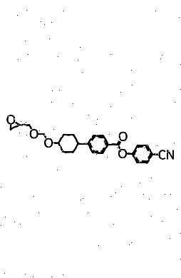 N#Cc1ccc(OC(=O)c2ccc(C3CCC(OCOCC4CO4)CC3)cc2)cc1